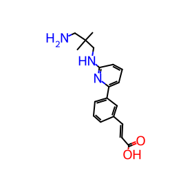 CC(C)(CN)CNc1cccc(-c2cccc(C=CC(=O)O)c2)n1